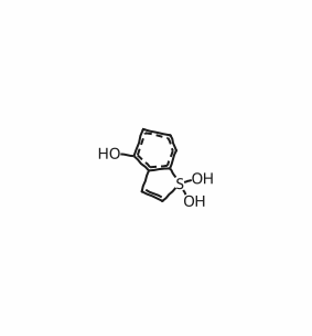 Oc1cccc2c1C=CS2(O)O